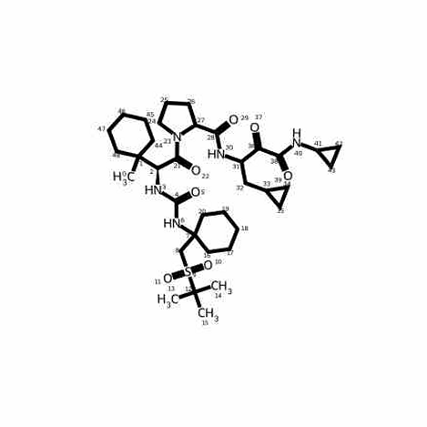 CC1([C@H](NC(=O)NC2(CS(=O)(=O)C(C)(C)C)CCCCC2)C(=O)N2CCCC2C(=O)NC(CC2CC2)C(=O)C(=O)NC2CC2)CCCCC1